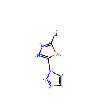 CCc1nnc(-n2cccn2)o1